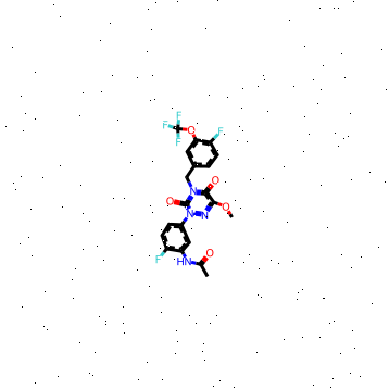 COc1nn(-c2ccc(F)c(NC(C)=O)c2)c(=O)n(Cc2ccc(F)c(OC(F)(F)F)c2)c1=O